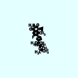 Cc1c(N2CC[C@H](C(C)(C)NC(=O)OC(C)(C)C)C2)c(F)cc2c(=O)n(N)c(=O)n(C3CC3)c12